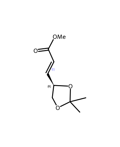 COC(=O)/C=C/[C@@H]1COC(C)(C)O1